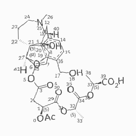 CC(=O)O[C@@H](CC(=O)OC1=CC[C@@]2(O)[C@H]3Cc4ccc(CO)c5c4[C@@]2(CCCN3C)[C@H]1O5)C(=O)O[C@@H](C)C(=O)O[C@@H](C)C(=O)O